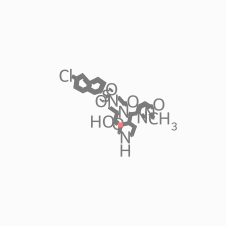 Cn1nc(C(C2CCNCC2)N2C(=O)CN(S(=O)(=O)c3ccc4cc(Cl)ccc4c3)CC2C(=O)O)ccc1=O